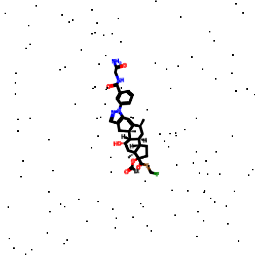 CCC(=O)O[C@]1(C(=O)SCF)CC[C@H]2[C@@H]3C[C@H](C)C4=Cc5c(cnn5-c5cccc(C(=O)NCC(N)=O)c5)C[C@]4(C)[C@H]3[C@@H](O)C[C@@]21C